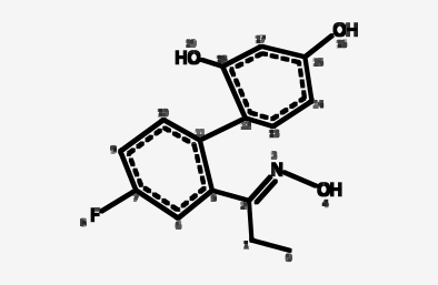 CCC(=NO)c1cc(F)ccc1-c1ccc(O)cc1O